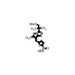 CCCCN(CC)c1ccc(/C=c2/c(C)nn3c(C(C)(C)COC)nnc23)s1